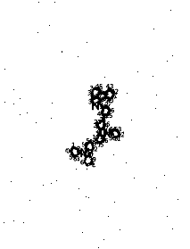 c1ccc(-n2c3ccccc3c3cc(-c4ccc5c(c4)c4ccc(-c6cccc(-c7ncc8cccc9c8c7-c7ccccc7-9)c6)cc4n5-c4ccccc4)ccc32)cc1